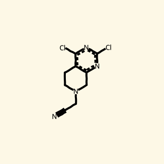 N#CCN1CCc2c(Cl)nc(Cl)nc2C1